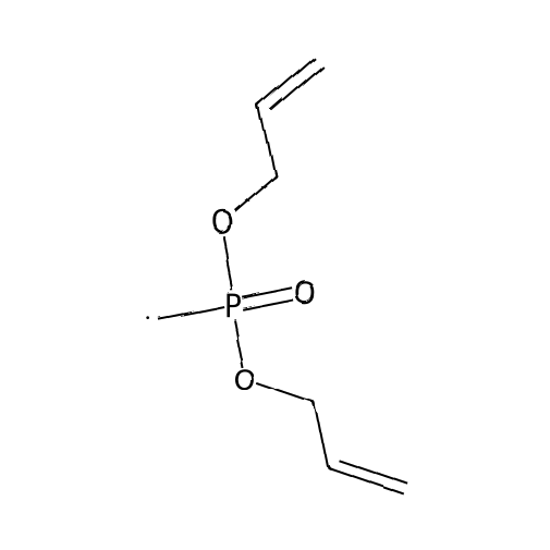 [CH2]P(=O)(OCC=C)OCC=C